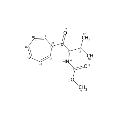 COC(=O)N[C@H](C(=O)N1C=CC=CC=C1)C(C)C